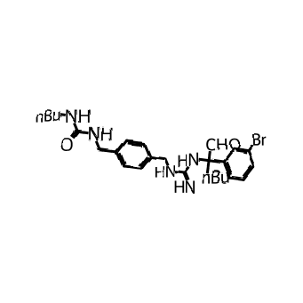 CCCCNC(=O)NCc1ccc(CNC(=N)NC(C=O)(CCCC)c2cccc(Br)c2)cc1